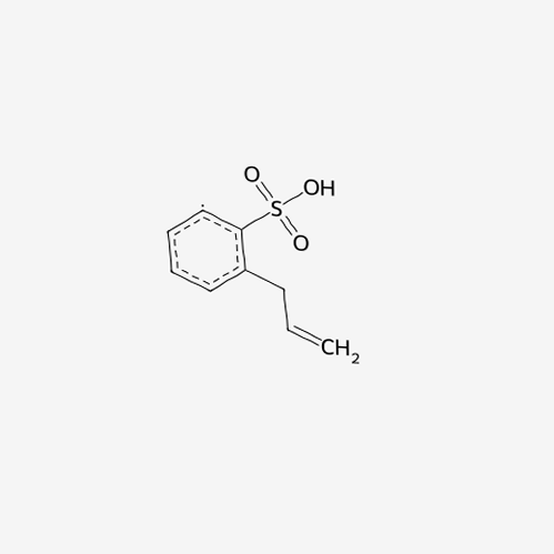 C=CCc1ccc[c]c1S(=O)(=O)O